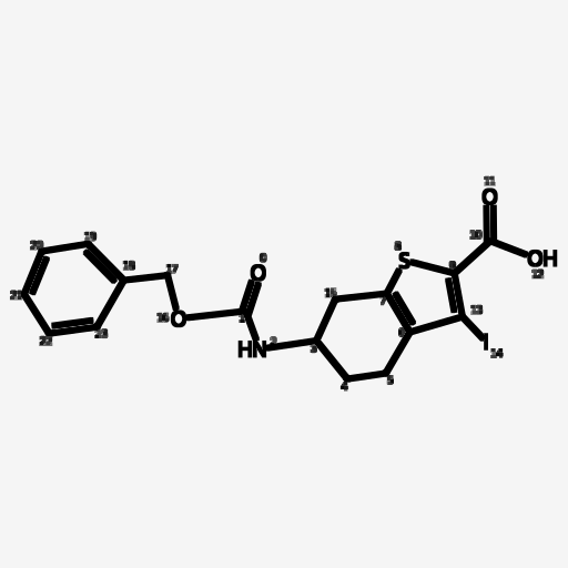 O=C(NC1CCc2c(sc(C(=O)O)c2I)C1)OCc1ccccc1